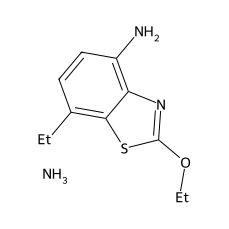 CCOc1nc2c(N)ccc(CC)c2s1.N